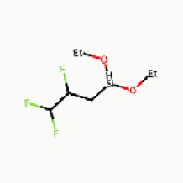 CCO[SiH](CC(F)C(F)F)OCC